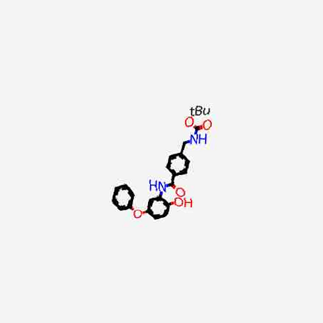 CC(C)(C)OC(=O)NCc1ccc(C(=O)Nc2cc(Oc3ccccc3)ccc2O)cc1